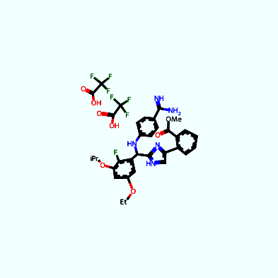 CCOc1cc(OC(C)C)c(F)c(C(Nc2ccc(C(=N)N)cc2)c2nc(-c3ccccc3C(=O)OC)c[nH]2)c1.O=C(O)C(F)(F)F.O=C(O)C(F)(F)F